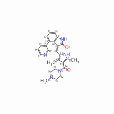 Cc1[nH]c(/C=C2\C(=O)Nc3cccc(-c4cccnc4)c32)c(C)c1C(=O)N1CCN(C)CC1